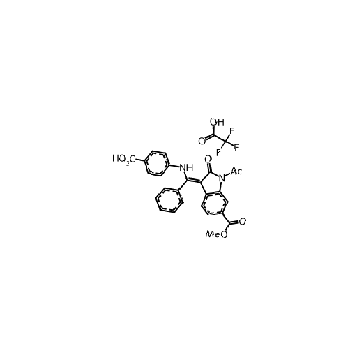 COC(=O)c1ccc2c(c1)N(C(C)=O)C(=O)/C2=C(\Nc1ccc(C(=O)O)cc1)c1ccccc1.O=C(O)C(F)(F)F